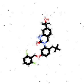 CC(C)(C)Cc1ccc(OCc2c(F)cccc2F)cc1N1Cc2ccc(C(C)(C)O)cc2NC1=O